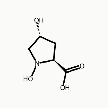 O=C(O)[C@@H]1C[C@@H](O)CN1O